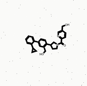 O=C(c1ccc(CO)cn1)N1CCC(c2ccc(-c3ccccc3C3CC3)cc2CO)C1